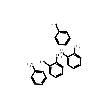 Cc1ccccc1N.Cc1ccccc1N.Nc1ccccc1.Nc1ccccc1